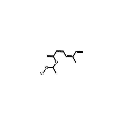 C=C/C(C)=C\C=C/C(=C)OC(C)OCC